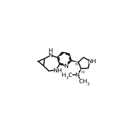 CN(C)[C@@H]1CNC[C@@H]1c1ccc2c(n1)NCC1CC1N2